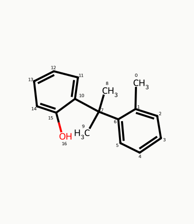 Cc1ccccc1C(C)(C)c1ccccc1O